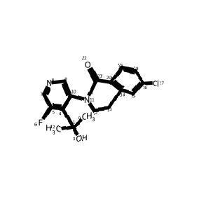 CC(C)(O)c1c(F)cncc1N1CCc2cc(Cl)ccc2C1=O